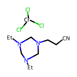 CCN1CN(CC)CN(CCC#N)C1.[Cl][Cr]([Cl])[Cl]